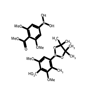 COC(=O)c1c(OC)cc(B(O)O)cc1OC.COc1cc(B2OC(C)(C)C(C)(C)O2)c(C)c(OC)c1C(=O)O